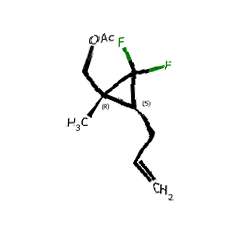 C=CC[C@@H]1C(F)(F)[C@@]1(C)COC(C)=O